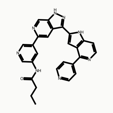 CCCC(=O)Nc1cncc(-c2cc3c(-c4cc5c(-c6ccncc6)nccc5[nH]4)n[nH]c3cn2)c1